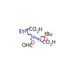 CCN(CCN(CCN(CC(=O)O)CC(=O)C(C)(C)C)COC=O)CC(=O)O